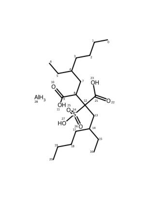 CCCCC(CC)CC(C(=O)O)C(CC(CC)CCCC)(C(=O)O)S(=O)(=O)O.[AlH3]